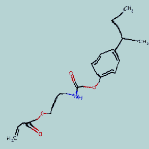 C=CC(=O)OCCNC(=O)Oc1ccc(C(C)CC)cc1